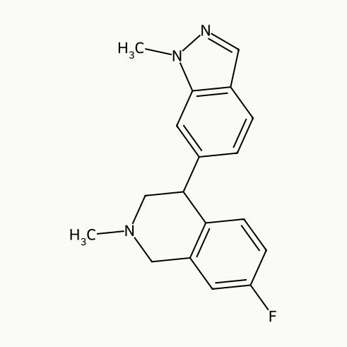 CN1Cc2cc(F)ccc2C(c2ccc3cnn(C)c3c2)C1